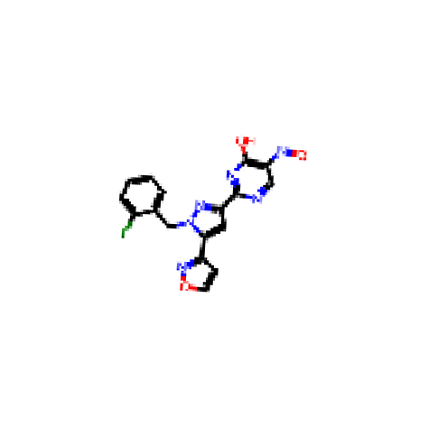 O=Nc1cnc(-c2cc(-c3ccon3)n(Cc3ccccc3F)n2)nc1O